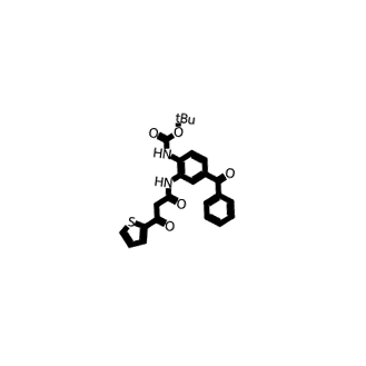 CC(C)(C)OC(=O)Nc1ccc(C(=O)c2ccccc2)cc1NC(=O)CC(=O)c1cccs1